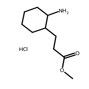 COC(=O)CCC1CCCCC1N.Cl